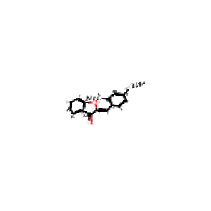 COc1ccc(/C=C2\Oc3ccccc3C2=O)c(OC)c1